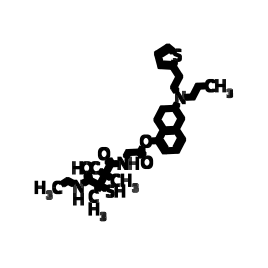 CCCN(CCc1cccs1)C1CCc2c(cccc2OC(=O)CNC(=O)C(C)(C)C(C)(S)C(=O)NCC)C1